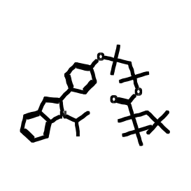 CC(C)n1c(-c2ccc(OC(C)(C)CC(C)(C)OC(=O)C(C)(CC(C)(C)C)C(C)(C)C)cc2)cc2ccccc21